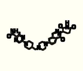 NC(=O)c1cnc(N2CCC(CN3CCN(c4ccc5c(=O)n(C6CCC(=O)NC6=O)ncc5c4)CC3)CC2)cn1